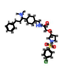 CN(C)C(CCc1ccccc1)C1CCC(CNC(=O)COC2CCN(S(=O)(=O)c3ccc(Cl)cc3)C2)CC1